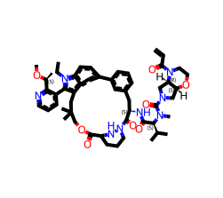 C=CC(=O)N1CCO[C@H]2CN(C(=O)N(C)[C@H](C(=O)N[C@H]3Cc4cccc(c4)-c4ccc5c(c4)c(c(-c4cccnc4[C@H](C)OC)n5CC)CC(C)(C)COC(=O)C4CCCN(N4)C3=O)C(C)C)C[C@H]21